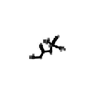 CP(C)(=O)OC(=O)CO